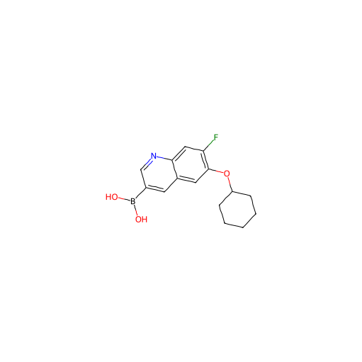 OB(O)c1cnc2cc(F)c(OC3CCCCC3)cc2c1